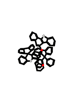 c1ccc(C2(c3ccccc3N(c3cc(C4CCCCC4)c4c(c3)C3(c5ccccc5O4)c4ccccc4-c4ccccc43)c3cc4ccccc4c4oc5ccccc5c34)c3ccccc3-c3ccccc32)cc1